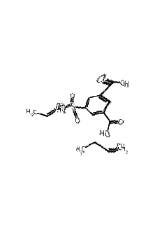 C=CC.C=CCC.O=C(O)c1cc(C(=O)O)cc(S(=O)(=O)O)c1